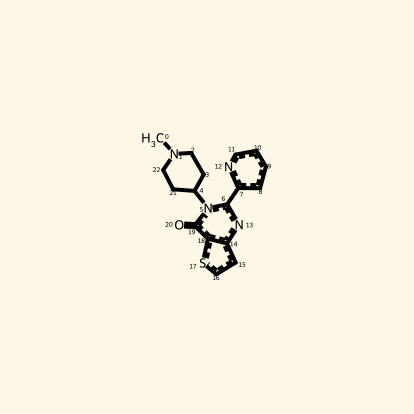 CN1CCC(n2c(-c3ccccn3)nc3ccsc3c2=O)CC1